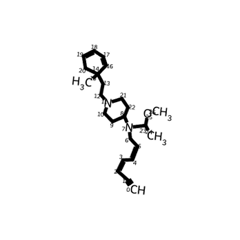 C#C/C=C\C=C/CN(C1CCN(CCC2(C)C=CC=CC2)CC1)C(C)OC